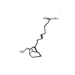 O=C(O)CCCC=CCC1C2CCC(O2)C1CO